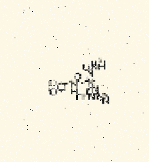 CCCNC(=O)N1CCN(c2cc(Cl)nc(-n3ccnc3)n2)C(CC(=O)NCc2ccc3c(c2)OCCO3)C1